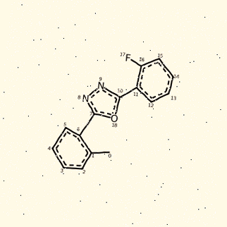 Cc1ccccc1-c1nnc(-c2ccccc2F)o1